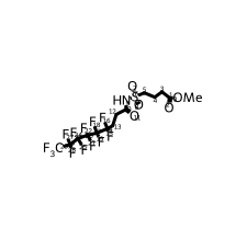 COC(=O)CCCS(=O)(=O)NC(=O)CCC(F)(F)C(F)(F)C(F)(F)C(F)(F)C(F)(F)C(F)(F)F